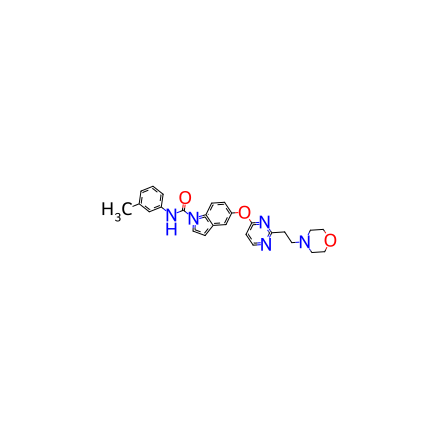 Cc1cccc(NC(=O)n2ccc3cc(Oc4ccnc(CCN5CCOCC5)n4)ccc32)c1